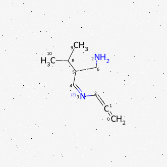 C=C=C/N=C\C(CN)C(C)C